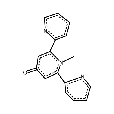 Cn1c(-c2ccccn2)cc(=O)cc1-c1ccccn1